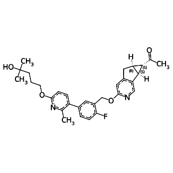 CC(=O)[C@H]1[C@@H]2Cc3cc(OCc4cc(-c5ccc(OCCCC(C)(C)O)nc5C)ccc4F)ncc3[C@@H]21